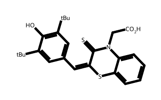 CC(C)(C)c1cc(C=C2Sc3ccccc3N(CC(=O)O)C2=S)cc(C(C)(C)C)c1O